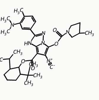 [C-]#[N+]c1c(C(=O)OC2C(C(C)C)CCCC2C(C)(C)C)c2[nH]c(-c3ccc(C)c(N(C)C)c3)nn2c1OC(=O)N1CCC(C)C1